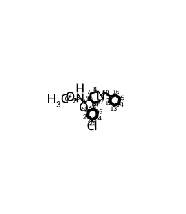 COCNC(=O)[C@@H]1CCN(Cc2ccccc2)C[C@@H]1c1ccc(Cl)cc1